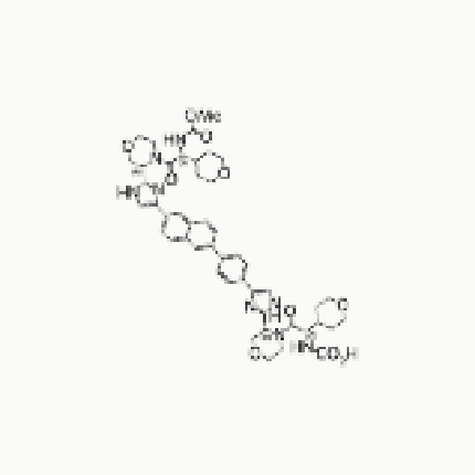 COC(=O)N[C@H](C(=O)N1CCOC[C@H]1c1nc(-c2ccc3cc(-c4ccc(-c5c[nH]c([C@@H]6COCCN6C(=O)[C@@H](NC(=O)O)C6CCOCC6)n5)cc4)ccc3c2)c[nH]1)C1CCOCC1